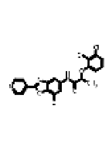 CC(Oc1cccc(Cl)c1Cl)C(=O)Nc1cc(Cl)c2oc(-c3ccncc3)nc2c1